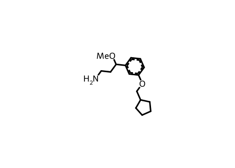 COC(CCN)c1cccc(OCC2CCCC2)c1